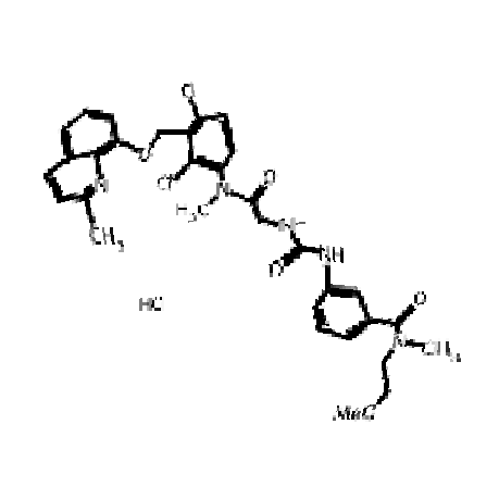 COCCN(C)C(=O)c1cccc(NC(=O)NCC(=O)N(C)c2ccc(Cl)c(COc3cccc4ccc(C)nc34)c2Cl)c1.Cl